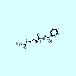 NC(=O)CCCNC(=O)NCC(O)c1ccccc1